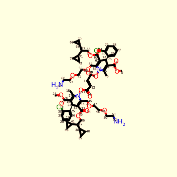 COC(=O)C1=C(C)N(OC(=O)/C=C/C(=O)ON2C(C)=C(C(=O)OC)[C@H](c3ccccc3Cl)C(C(=O)OCC(C3CC3)C3CC3)=C2COCCOCCN)C(COCCOCCN)=C(C(=O)OCC(C2CC2)C2CC2)[C@H]1c1ccccc1Cl